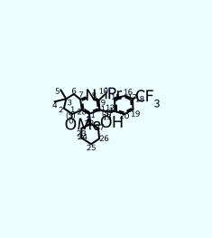 CO[C@H]1CC(C)(C)Cc2nc(C(C)C)c([C@@H](O)c3ccc(C(F)(F)F)cc3)c(C3CCCCC3)c21